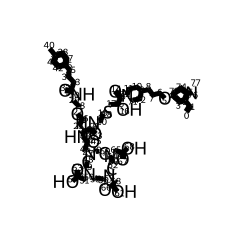 C=Cc1cc(OCCCC2CCN(C(=O)[C@H](O)CSCCNC(=O)[C@H](CCOCCNC(=O)CCCc3ccc(C)cc3)NC(=O)CN3CCN(CC(=O)O)CCN(CC(=O)O)CCN(CC(=O)O)CC3)CC2)ccc1N=C